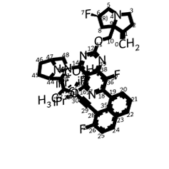 C=C1CCN2C[C@H](F)CC12COc1nc2c3c(nc(-c4cccc5ccc(F)c(C#C[Si](C(C)C)(C(C)C)C(C)C)c45)c(F)c3n1)OC(C)C1C3CCC(CN21)N3C(=O)O